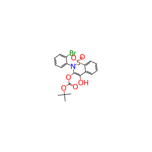 CC(C)(C)OC(=O)OC1=C(O)c2ccccc2S(=O)(=O)N1c1ccccc1Br